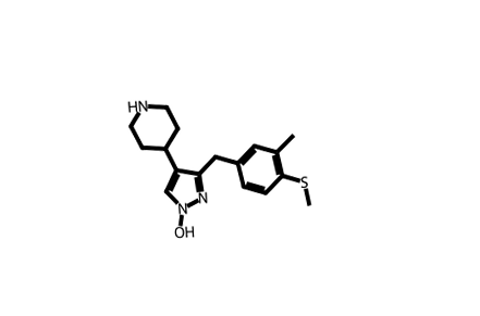 CSc1ccc(Cc2nn(O)cc2C2CCNCC2)cc1C